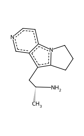 C[C@@H](N)Cc1c2n(c3ccncc13)CCC2